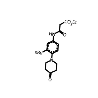 CCCCc1cc(NC(=O)CC(=O)OCC)ccc1N1CCC(=O)CC1